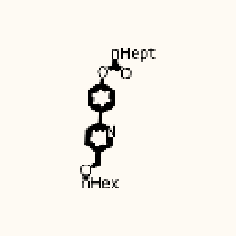 CCCCCCCC(=O)Oc1ccc(-c2ccc(COCCCCCC)cn2)cc1